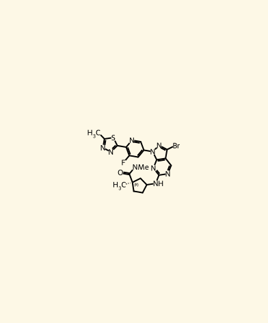 CNC(=O)[C@]1(C)CCC(Nc2ncc3c(Br)nn(-c4cnc(-c5nnc(C)s5)c(F)c4)c3n2)C1